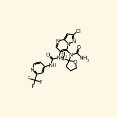 CC1(N(C(N)=O)c2c(NC(=O)Nc3ccnc(C(F)(F)F)c3)cnc3cc(Cl)nn23)CCCO1